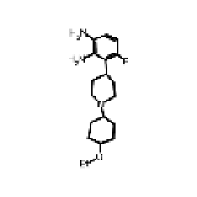 CCOC1CCC(N2CCC(c3c(F)ccc(N)c3N)CC2)CC1